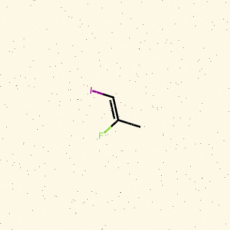 CC(F)=CI